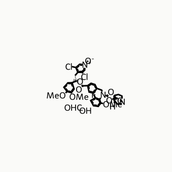 COc1ccc([C@H](Cc2c(Cl)c[n+]([O-])cc2Cl)OC(=O)c2ccc(CN(C(=O)O[C@H]3CN4CCC3CC4)c3c(F)cccc3OC)cc2)cc1OC.O=CO